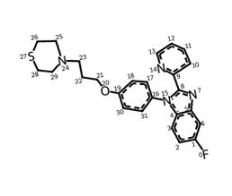 Fc1ccc2c(c1)nc(-c1ccccn1)n2-c1ccc(OCCCN2CCSCC2)cc1